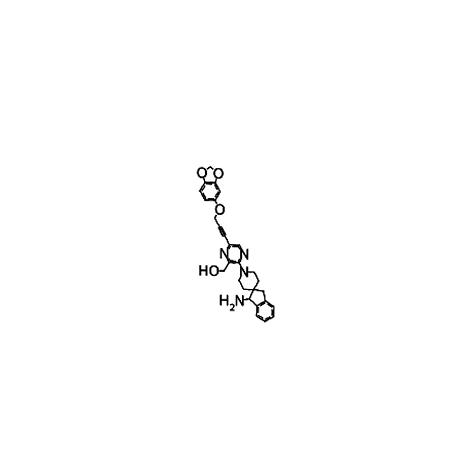 NC1c2ccccc2CC12CCN(c1ncc(C#CCOc3ccc4c(c3)OCO4)nc1CO)CC2